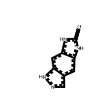 O=c1[nH]c2cc3cn[nH]c3cc2[nH]1